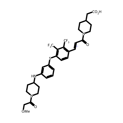 COCC(=O)N1CCC(Nc2cccc(Sc3ccc(/C=C/C(=O)N4CCC(CC(=O)O)CC4)c(C(F)(F)F)c3C(F)(F)F)c2)CC1